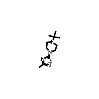 Cc1nsc(N2CCN(C(C)(C)C)CC2)n1